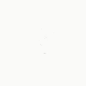 C=C(C)CC1NC2CC(C)(C)C1c1c(Br)ccc(Br)c12